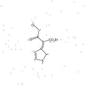 CCOC(=O)/C(C(=O)CCl)=C1/C=CSC1